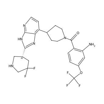 Nc1cc(OC(F)(F)F)ccc1C(=O)N1CCC(c2ccnc3[nH]c([C@H]4CNCC(F)(F)C4)nc23)CC1